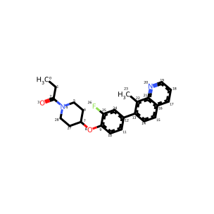 CCC(=O)N1CCC(Oc2ccc(-c3ccc4cccnc4c3C)cc2F)CC1